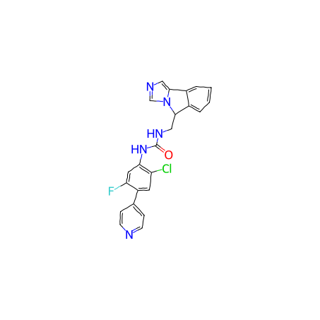 O=C(NCC1c2ccccc2-c2cncn21)Nc1cc(F)c(-c2ccncc2)cc1Cl